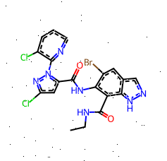 CCNC(=O)c1c(NC(=O)c2cc(Cl)nn2-c2ncccc2Cl)c(Br)cc2cn[nH]c12